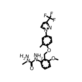 COc1cccc(N(N)C(=O)N(C)N)c1COc1ccc(-n2ccc(C(F)(F)F)n2)cc1C